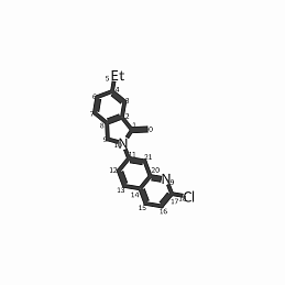 C=C1c2cc(CC)ccc2CN1c1ccc2ccc(Cl)nc2c1